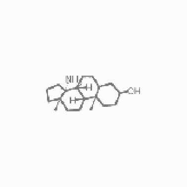 C[C@@]12CCC[C@@]1(N)[C@@H]1CCC3CC(O)CC[C@]3(C)[C@@H]1CC2